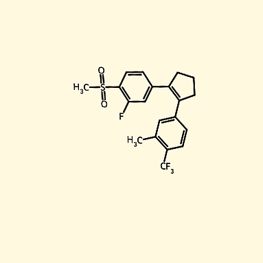 Cc1cc(C2=C(c3ccc(S(C)(=O)=O)c(F)c3)CCC2)ccc1C(F)(F)F